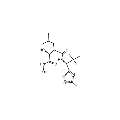 Cc1nc([C@@H](NC(=O)[C@H](CC(C)C)[C@H](O)C(=O)NO)C(C)(C)C)no1